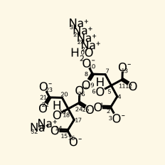 O.O=C([O-])CC(O)(CC(=O)[O-])C(=O)[O-].O=C([O-])CC(O)(CC(=O)[O-])C(=O)[O-].[Na+].[Na+].[Na+].[Na+].[Na+].[Na+]